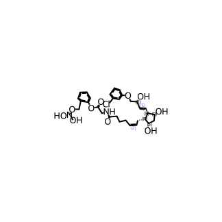 O=C(CCC/C=C\C[C@@H]1[C@@H](/C=C/[C@@H](O)COc2cccc(Cl)c2)[C@H](O)C[C@@H]1O)NCC(=O)Oc1ccccc1CON(O)O